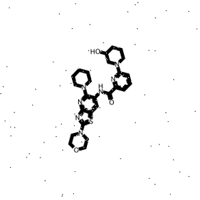 O=C(Nc1cc2sc(N3CCOCC3)nc2nc1N1CCCCC1)c1cccc(N2CCCC(O)C2)n1